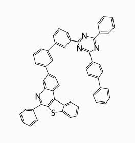 c1ccc(-c2ccc(-c3nc(-c4ccccc4)nc(-c4cccc(-c5cccc(-c6ccc7c(c6)nc(-c6ccccc6)c6sc8ccccc8c67)c5)c4)n3)cc2)cc1